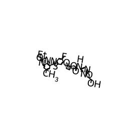 CCOc1cnc2c(-c3nc4cc(F)c(O[C@@H]5CC[C@@H]5OC(=O)Nc5cnc(OCCO)nc5)cc4s3)cc(C)cc2n1